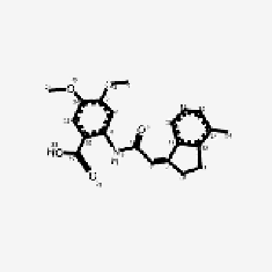 COc1cc(NC(=O)/C=C2/CCc3c(C)cccc32)c(C(=O)O)cc1OC